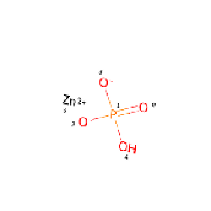 O=P([O-])([O-])O.[Zn+2]